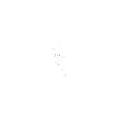 COc1ncc(N2CCOCC2)cc1S(=O)(=O)Nc1cncc(-c2ccc(CN(C)C)cc2)c1